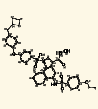 CCOc1ccc(S(=O)(=O)Nc2cc3c(C(=O)NO)cn(S(=O)(=O)c4ccc(Oc5ccc(CC6CCC6)cc5)cc4)c3c3ccccc23)cc1